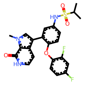 CC(C)S(=O)(=O)Nc1ccc(Oc2ccc(F)cc2F)c(-c2cn(C)c3c(=O)[nH]ccc23)c1